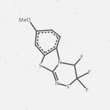 COc1ccc2c(c1)SC1=NSC(F)(F)C(F)N12